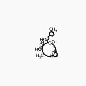 C=C1CCC[C@@H]2CC=C[C@@H](C/C=C\C(=O)OC([C@@H](O)/C=C/C3CCC=C(C)C3)C[C@@H]3O[C@H]3[C@@H](O)C1)O2